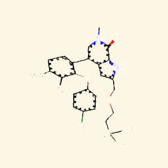 CNc1ccc(-c2cn(C)c(=O)c3[nH]c(COCC[Si](C)(C)C)cc23)c(Oc2ccc(Cl)cc2)c1[N+](=O)[O-]